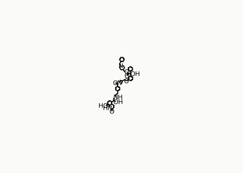 O=C(c1ccc(CCNCC(O)c2ccc(O)c3[nH]c(=O)ccc23)cc1)N1CC(COc2cccc(C(O)(C(=O)OCC3CCN(Cc4ccccc4)CC3)c3ccccc3)c2)C1